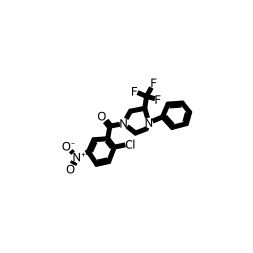 O=C(c1cc([N+](=O)[O-])ccc1Cl)N1CCN(c2ccccc2)C(C(F)(F)F)C1